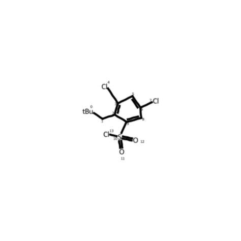 CC(C)(C)Cc1c(Cl)cc(Cl)cc1S(=O)(=O)Cl